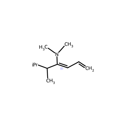 C=C/C=C(/C(C)C(C)C)N(C)C